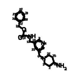 NC1CCN(Cc2cncc(CNC(=O)OCc3ccccc3)c2)CC1